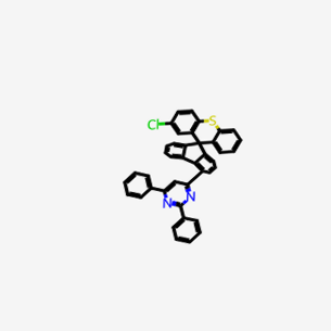 Clc1ccc2c(c1)C1(c3ccccc3S2)c2ccccc2-c2c(-c3cc(-c4ccccc4)nc(-c4ccccc4)n3)cccc21